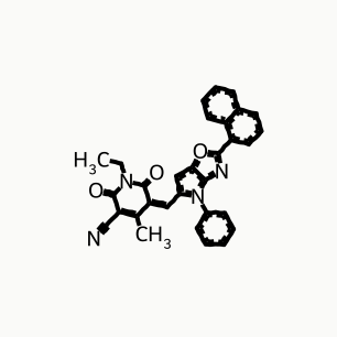 CCN1C(=O)C(C#N)=C(C)/C(=C/c2cc3oc(-c4cccc5ccccc45)nc3n2-c2ccccc2)C1=O